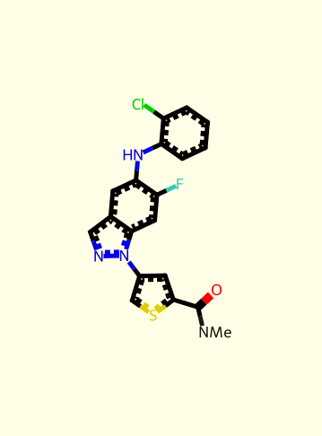 CNC(=O)c1cc(-n2ncc3cc(Nc4ccccc4Cl)c(F)cc32)cs1